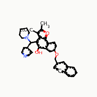 CCOC(=O)c1c(C)oc2c1c(C(c1ccncc1)N1CCCCC1)c(O)c1cc(OCc3ccc4ccccc4c3)ccc12